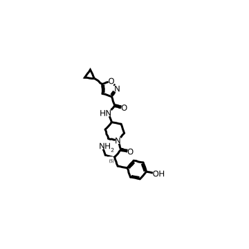 NC[C@H](Cc1ccc(O)cc1)C(=O)N1CCC(NC(=O)c2cc(C3CC3)on2)CC1